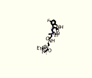 CCNC(/C=C1\C(=O)Nc2ccc(F)cc21)=C(/C)CC(=O)NCCNC(=O)[C@H](C)N(C)C(=O)CC